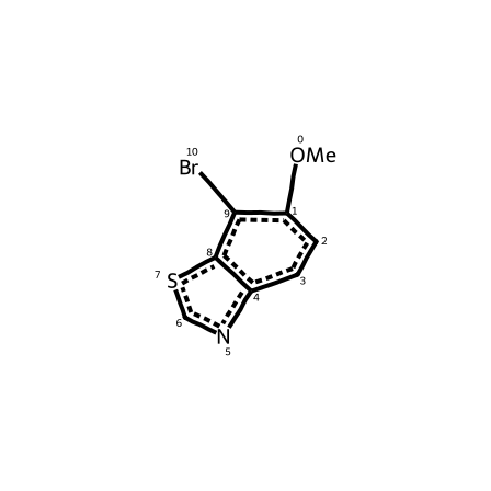 COc1ccc2ncsc2c1Br